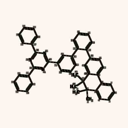 CC1(C)c2ccccc2-c2ccc(-c3ccccc3-c3cccc(-c4nc(-c5ccccc5)nc(-c5ccccc5)n4)c3)cc2C1(C)C